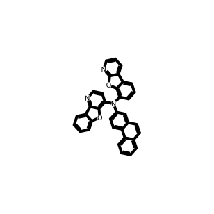 c1ccc2c(c1)ccc1cc(N(c3cccc4c3oc3ncccc34)c3ccnc4c3oc3ccccc34)ccc12